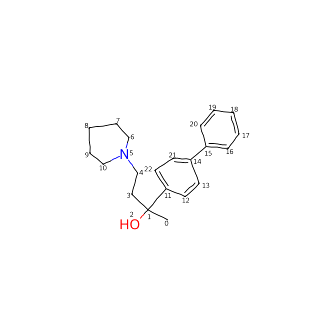 CC(O)(CCN1CCCCC1)c1ccc(-c2ccccc2)cc1